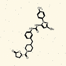 Cc1ccc(-n2nc(C(C)(C)C)cc2NC(=O)Nc2cccc(CC3CCN(C(=O)[C@@H]4CCC(=O)O4)CC3)c2)cc1